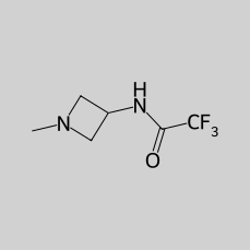 CN1CC(NC(=O)C(F)(F)F)C1